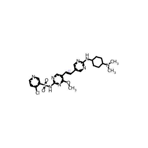 COc1nc(NS(=O)(=O)c2cnccc2Cl)ncc1/C=C/c1cnc(NC2CCC(N(C)C)CC2)nc1